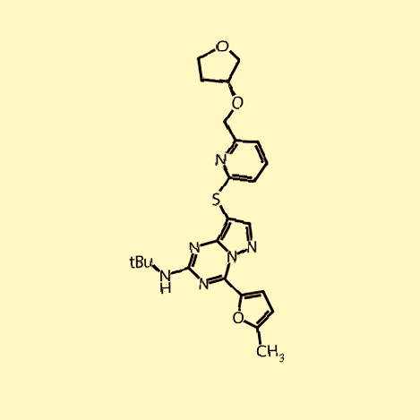 Cc1ccc(-c2nc(NC(C)(C)C)nc3c(Sc4cccc(CO[C@H]5CCOC5)n4)cnn23)o1